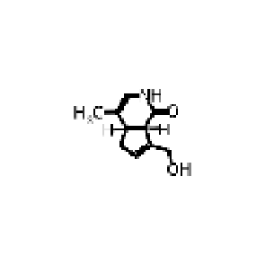 CC1=CNC(=O)[C@@H]2C(CO)=CC[C@H]12